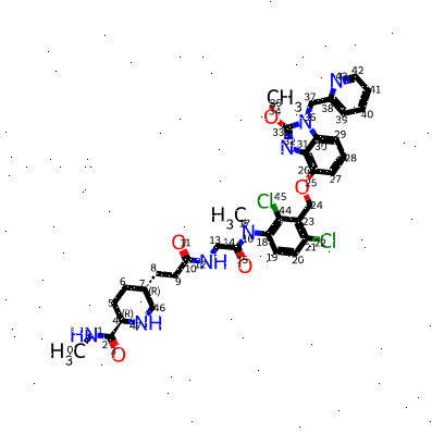 CNC(=O)[C@H]1CC[C@H](CCC(=O)NCC(=O)N(C)c2ccc(Cl)c(COc3cccc4c3nc(OC)n4Cc3ccccn3)c2Cl)CN1